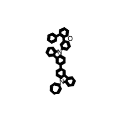 C1=CCC=CC(n2c3ccccc3c3cc(-c4ccc5c(c4)c4ccccc4n5-c4ccc5oc6cccc(-c7ccccc7)c6c5c4)ccc32)=C1